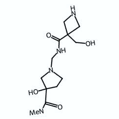 CNC(=O)C1(O)CCN(CNC(=O)C2(CO)CNC2)C1